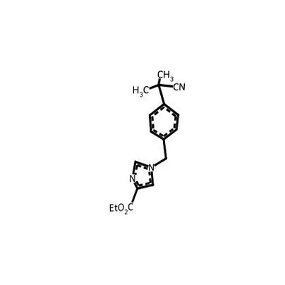 CCOC(=O)c1cn(Cc2ccc(C(C)(C)C#N)cc2)cn1